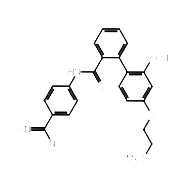 COCCOc1ccc(-c2ccccc2C(=O)Nc2ccc(C(=N)N)cc2)c(C(=O)O)c1